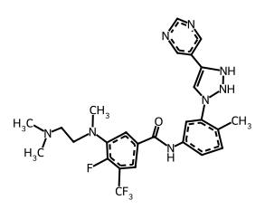 Cc1ccc(NC(=O)c2cc(N(C)CCN(C)C)c(F)c(C(F)(F)F)c2)cc1N1C=C(c2cncnc2)NN1